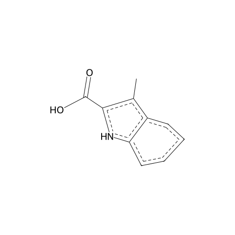 Cc1c(C(=O)O)[nH]c2ccccc12